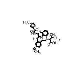 COc1ccc(CCNC(C(=O)O)C(C)C)c(Nc2nc3ccccc3nc2NS(=O)(=O)c2cn(C)cn2)c1